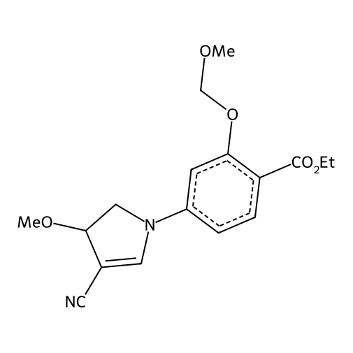 CCOC(=O)c1ccc(N2C=C(C#N)C(OC)C2)cc1OCOC